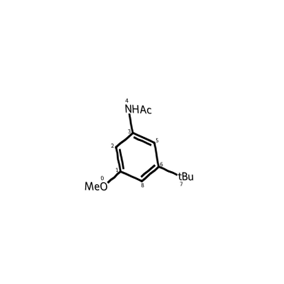 COc1cc(NC(C)=O)cc(C(C)(C)C)c1